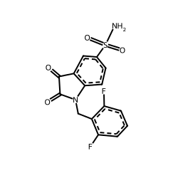 NS(=O)(=O)c1ccc2c(c1)C(=O)C(=O)N2Cc1c(F)cccc1F